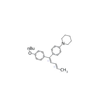 C/C=C/C=C(/c1ccc(OCCCC)cc1)c1ccc(N2CCCCC2)cc1